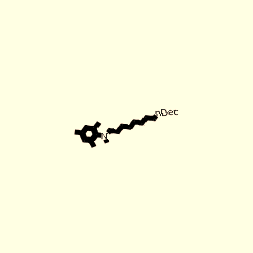 CCCCCCCCCCCCCCCCCCN(C)c1c(C)cc(C)cc1C